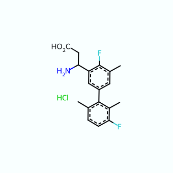 Cc1cc(-c2c(C)ccc(F)c2C)cc(C(N)CC(=O)O)c1F.Cl